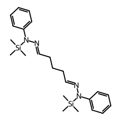 C[Si](C)(C)N(N=CCCCC=NN(c1ccccc1)[Si](C)(C)C)c1ccccc1